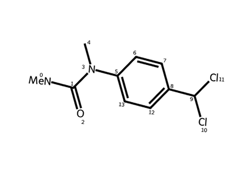 CNC(=O)N(C)c1ccc(C(Cl)Cl)cc1